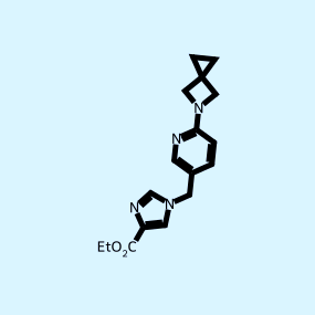 CCOC(=O)c1cn(Cc2ccc(N3CC4(CC4)C3)nc2)cn1